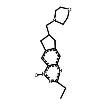 CCc1nc2cc3c(cc2[n+]([O-])n1)CC(CN1CCOCC1)C3